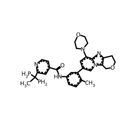 Cc1ccc(NC(=O)c2ccnc(C(C)(P)P)c2)cc1-c1cc(N2CCOCC2)c2nc3c(n2c1)COCC3